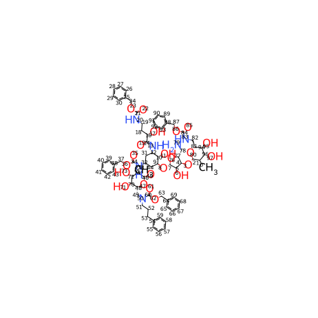 C[C@H]1[C@@H](O[C@H]2[C@@H](O)[C@H](O[C@@H]3[C@@H](O)[C@H](NC(=O)[C@@H](O)CCNC(=O)OCc4ccccc4)C[C@H](NC(=O)OCc4ccccc4)[C@H]3O[C@H]3O[C@H](CN(CCCc4ccccc4)C(=O)OCc4ccccc4)[C@@H](O)[C@H](O)[C@H]3C)O[C@@H]2CN)O[C@@H](CNC(=O)OCc2ccccc2)[C@@H](O)[C@@H]1O